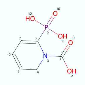 O=C(O)N1CC=CC=C1P(=O)(O)O